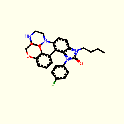 CCCCn1c(=O)n(-c2ccc(F)cc2)c2c(-c3cccc4c3OCCO4)c(N3CCNCC3)ccc21